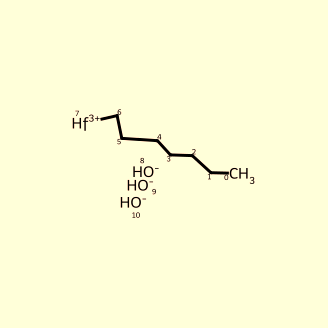 CCCCCC[CH2][Hf+3].[OH-].[OH-].[OH-]